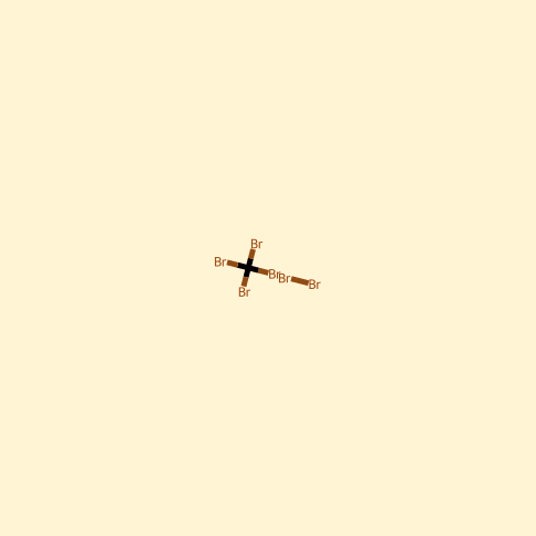 BrBr.BrC(Br)(Br)Br